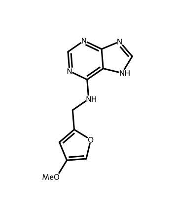 COc1coc(CNc2ncnc3nc[nH]c23)c1